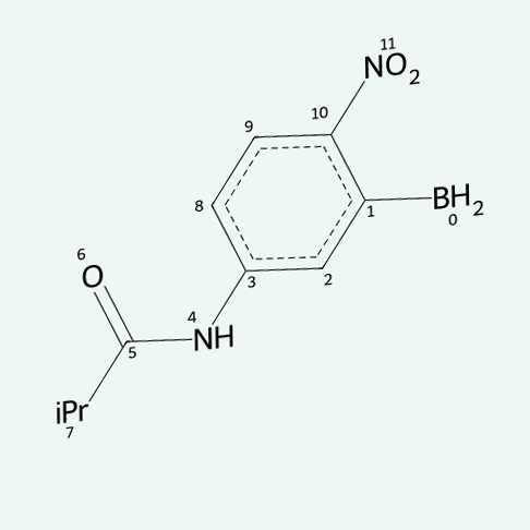 Bc1cc(NC(=O)C(C)C)ccc1[N+](=O)[O-]